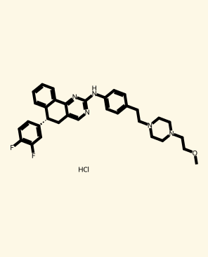 COCCN1CCN(CCc2ccc(Nc3ncc4c(n3)-c3ccccc3[C@@H](c3ccc(F)c(F)c3)C4)cc2)CC1.Cl